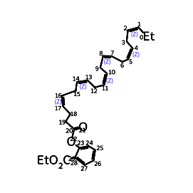 CC/C=C\C/C=C\C/C=C\C/C=C\C/C=C\C/C=C\CCC(=O)Oc1ccccc1C(=O)OCC